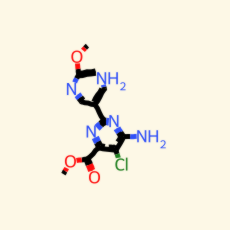 C=C(/N=C\C(=C/N)c1nc(N)c(Cl)c(C(=O)OC)n1)OC